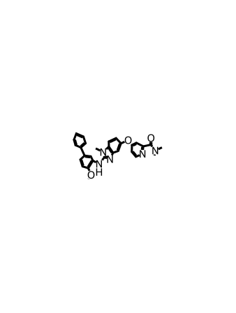 COc1ccc(-c2ccccc2)cc1Nc1nc2cc(Oc3ccnc(C(=O)N(C)C)c3)ccc2n1C